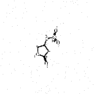 O=C1CC(O[SH](=O)=O)CO1